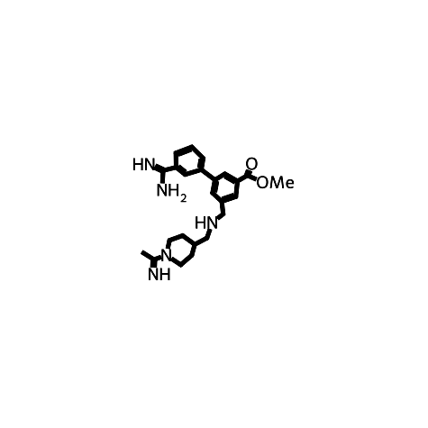 COC(=O)c1cc(CNCC2CCN(C(C)=N)CC2)cc(-c2cccc(C(=N)N)c2)c1